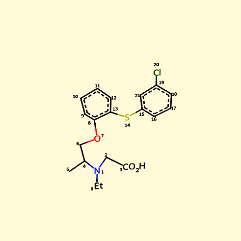 CCN(CC(=O)O)C(C)COc1ccccc1Sc1cccc(Cl)c1